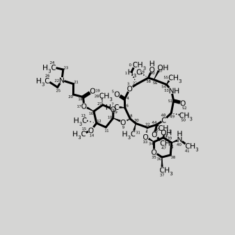 CC[C@H]1OC(=O)[C@H](C)[C@@H](O[C@H]2C[C@@](C)(OC)[C@@H](OC(=O)CCN(CC)CC)[C@H](C)O2)[C@H](C)[C@@H](O[C@@H]2O[C@H](C)C[C@H](NC)[C@H]2O)[C@](C)(OC)C[C@@H](C)C(=O)N[C@H](C)[C@H](O)[C@]1(C)O